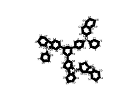 c1ccc(N(c2ccc(-c3cc(-c4ccc5c6ccccc6n(-c6ccccc6)c5c4)cc(-c4ccc5c6ccccc6n(-c6ccc7sc8ccccc8c7c6)c5c4)c3)cc2)c2ccc3ccccc3c2)cc1